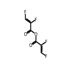 O=C(OC(=O)C(F)=CF)C(F)=CF